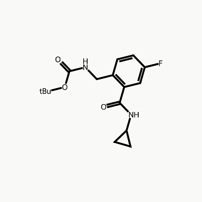 CC(C)(C)OC(=O)NCc1ccc(F)cc1C(=O)NC1CC1